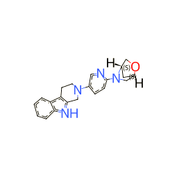 c1ccc2c3c([nH]c2c1)CN(c1ccc(N2C[C@@H]4C[C@H]2CO4)nc1)CC3